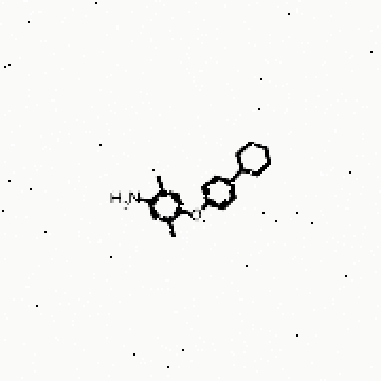 Cc1cc(Oc2ccc(C3CCCCC3)cc2)c(C)cc1N